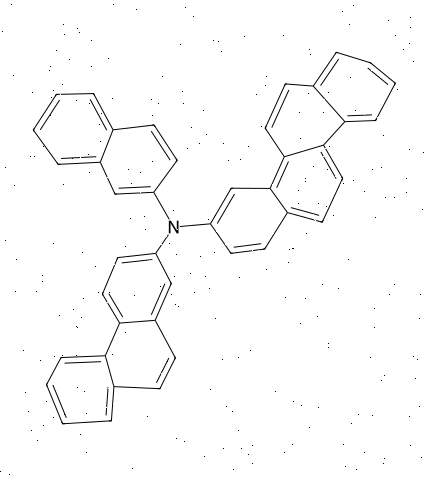 c1ccc2cc(N(c3ccc4c(ccc5ccccc54)c3)c3ccc4ccc5c6ccccc6ccc5c4c3)ccc2c1